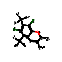 [2H]C([2H])([2H])c1c(Br)c2c(c(C([2H])([2H])[2H])c1Br)C=C(C(=O)O)C(C(F)(F)F)O2